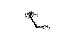 CCCC/C=C\CCCCCCCCP(=O)(O)O